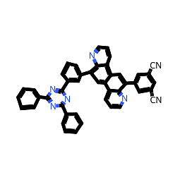 N#Cc1cc(C#N)cc(-c2cc3c4cccnc4c(-c4cccc(-c5nc(-c6ccccc6)nc(-c6ccccc6)n5)c4)cc3c3cccnc23)c1